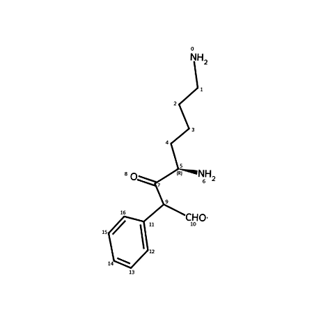 NCCCC[C@@H](N)C(=O)C([C]=O)c1ccccc1